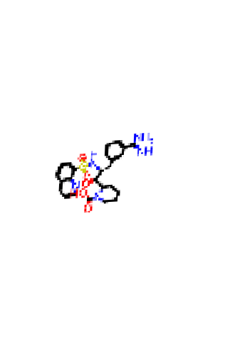 N=C(N)c1cccc(C[C@H](NS(=O)(=O)c2cccc3cccnc23)C(=O)C2CCCCN2C(=O)O)c1